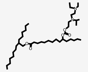 CCCCCCCCC(CCCCCC)COC(=O)CCCCCCCCC(CCCCC)OC(=O)OCCN(CCN(CC)CC)C(C)C